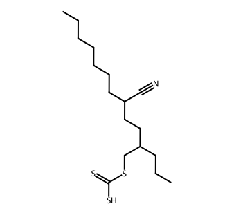 CCCCCCCC(C#N)CCC(CCC)CSC(=S)S